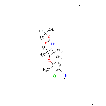 Cc1c(OC2C(C)(C)C(NC(=O)OC(C)(C)C)C2(C)C)ccc(C#N)c1Cl